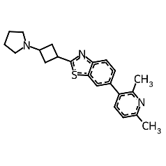 Cc1ccc(-c2ccc3nc(C4CC(N5CCCC5)C4)sc3c2)c(C)n1